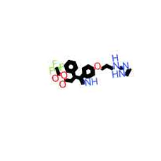 O=C(CC(c1ccccc1)c1c[nH]c2cc(OCCCNc3ncc[nH]3)ccc12)OC(=O)C(F)(F)F